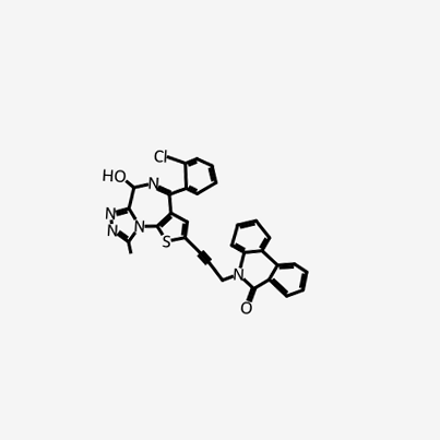 Cc1nnc2n1-c1sc(C#CCn3c(=O)c4ccccc4c4ccccc43)cc1C(c1ccccc1Cl)=NC2O